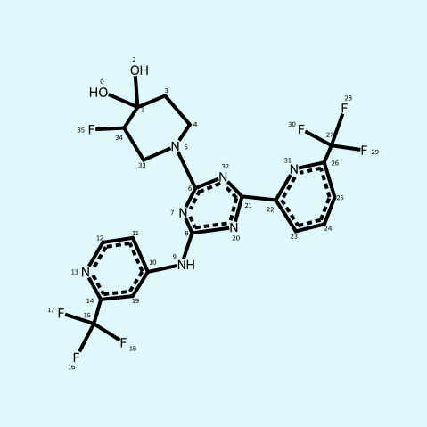 OC1(O)CCN(c2nc(Nc3ccnc(C(F)(F)F)c3)nc(-c3cccc(C(F)(F)F)n3)n2)CC1F